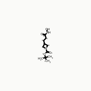 CC(C)(C)OC(=O)N1CC(CCC(=O)NO)C1